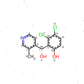 Cc1cnccc1[C@@H](O)c1c(O)ccc(Cl)c1Cl